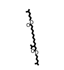 CC(C)CCCCOC(=O)CCCCCCCCCC(CC(=O)OCCCCC(C)C)C(C)C